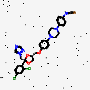 S=C=Nc1ccc(N2CCN(c3ccc(OC[C@@H]4CO[C@@](Cn5cncn5)(c5ccc(Cl)cc5Cl)O4)cc3)CC2)cc1